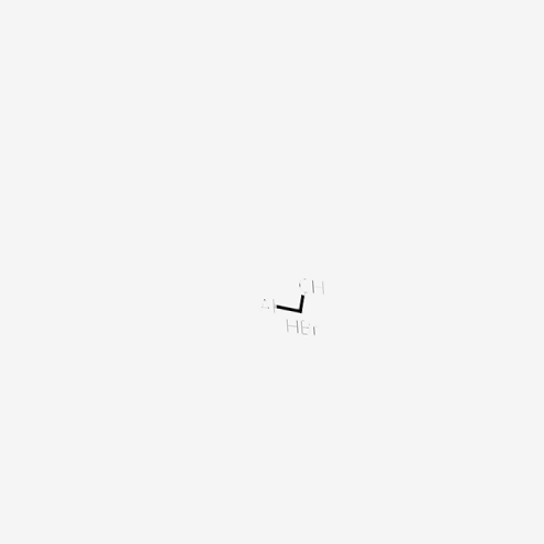 Br.C[CH2][Al]